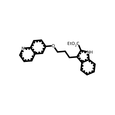 CCOC(=O)c1[nH]c2ccccc2c1CCCOc1ccc2ncccc2c1